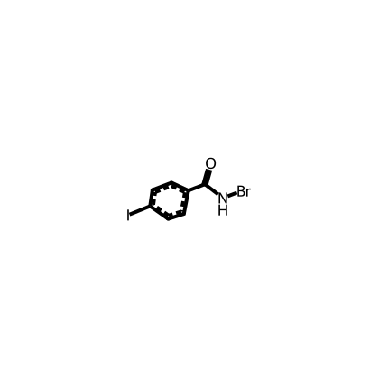 O=C(NBr)c1ccc(I)cc1